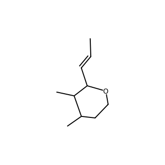 C/C=C/C1OCCC(C)C1C